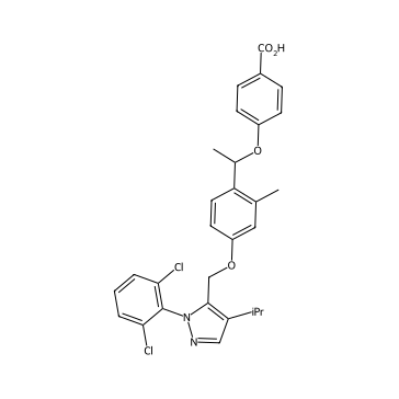 Cc1cc(OCc2c(C(C)C)cnn2-c2c(Cl)cccc2Cl)ccc1C(C)Oc1ccc(C(=O)O)cc1